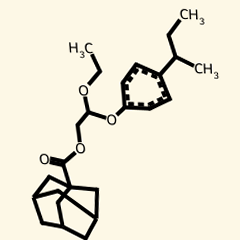 CCOC(COC(=O)C12CC3CC(CC(C3)C1)C2)Oc1ccc(C(C)CC)cc1